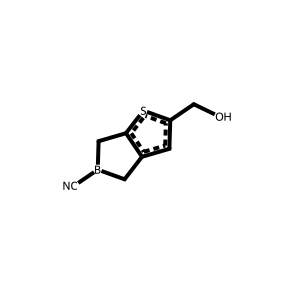 N#CB1Cc2cc(CO)sc2C1